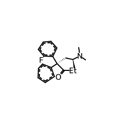 CCC(=O)[C@@](C[C@H](C)N(C)C)(c1ccccc1)c1ccccc1F